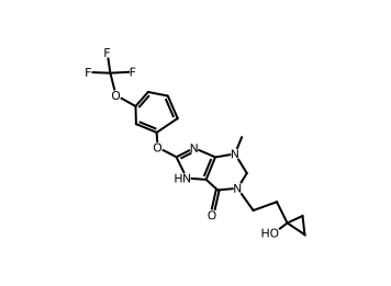 CN1CN(CCC2(O)CC2)C(=O)c2[nH]c(Oc3cccc(OC(F)(F)F)c3)nc21